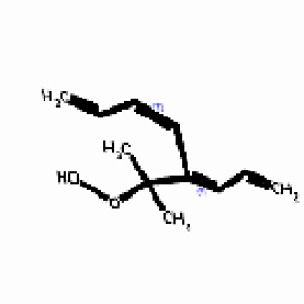 C=C/C=C\C(=C/C=C)C(C)(C)OO